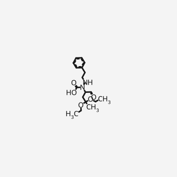 CCOC(C)(CC(C=O)N(NCCc1ccccc1)C(=O)O)OCC